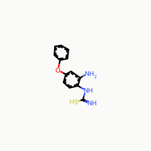 N=C(S)Nc1ccc(Oc2ccccc2)cc1N